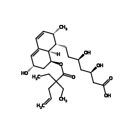 C=CCC(CC)(CC)C(=O)O[C@H]1C[C@H](O)C=C2C=C[C@H](C)[C@H](CC[C@@H](O)C[C@@H](O)CC(=O)O)[C@H]21